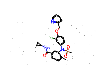 Cc1ccc(C(=O)NC2CC2)cc1N(c1ccc(OCc2ccccn2)c(F)c1)S(C)(=O)=O